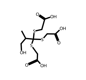 CC(CO)C(SCC(=O)O)(SCC(=O)O)SCC(=O)O